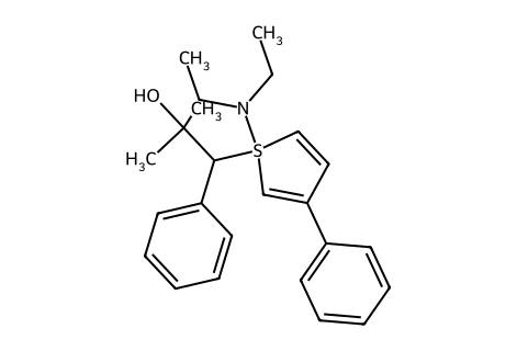 CCN(CC)S1(C(c2ccccc2)C(C)(C)O)C=CC(c2ccccc2)=C1